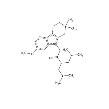 COc1ccc2c3c(n(CC(=O)N(CC(C)C)CC(C)C)c2c1)CC(C)(C)CC3